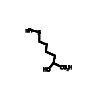 CCCSCCCCC(O)C(=O)O